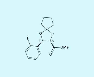 COC(=O)[C@@H]1OC2(CCCC2)O[C@@H]1c1ccccc1I